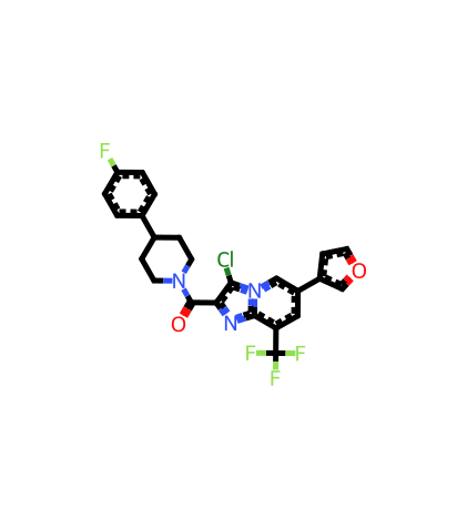 O=C(c1nc2c(C(F)(F)F)cc(-c3ccoc3)cn2c1Cl)N1CCC(c2ccc(F)cc2)CC1